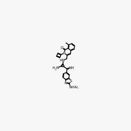 CC(=O)Nc1nc2ccc(C(=N)C3C(N)=C3NCc3cc4cccc(C)c4c(=O)n3C3=CC=C3)cc2s1